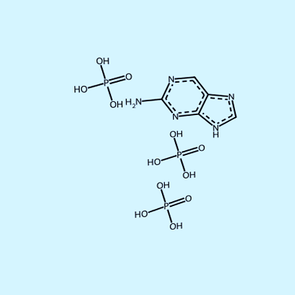 Nc1ncc2nc[nH]c2n1.O=P(O)(O)O.O=P(O)(O)O.O=P(O)(O)O